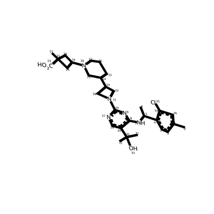 Cc1ccc(C(C)Nc2nc(N3CC(C4CCCN(C5CC(C)(C(=O)O)C5)C4)C3)ncc2C(C)(C)O)c(Cl)c1